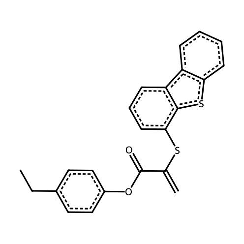 C=C(Sc1cccc2c1sc1ccccc12)C(=O)Oc1ccc(CC)cc1